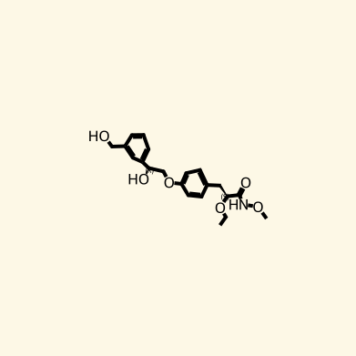 CCO[C@@H](Cc1ccc(OC[C@H](O)c2cccc(CO)c2)cc1)C(=O)NOC